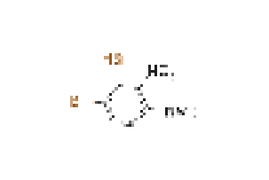 Br.CNc1ccc(Br)cc1[N+](=O)[O-]